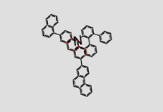 c1ccc(-c2ccccc2-c2c(-c3ccccc3)cccc2N(c2ccc(-c3ccc4c(ccc5ccccc54)c3)cc2)c2ccc(-c3cccc4ccccc34)cc2)cc1